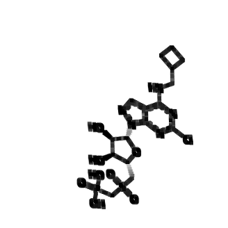 O=P(O)(O)CS(=O)(=O)C[C@H]1O[C@@H](n2ncc3c(NCC4CCC4)nc(Cl)nc32)[C@H](O)[C@@H]1O